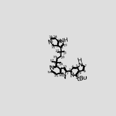 Cn1c(-c2cc3[nH]ccc3c(C(C)(C)C)n2)cc2c(C(C)(C)CCC(C)(C)c3c[nH]c4ccncc34)nccc21